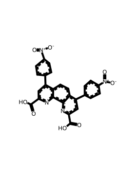 O=C(O)c1cc(-c2ccc([N+](=O)[O-])cc2)c2ccc3c(-c4ccc([N+](=O)[O-])cc4)cc(C(=O)O)nc3c2n1